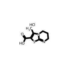 CC1=C(C(=O)O)SC2=NCCCN21.Cl